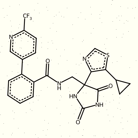 O=C1NC(=O)C(CNC(=O)c2ccccc2-c2ccc(C(F)(F)F)nc2)(c2ncsc2C2CC2)N1